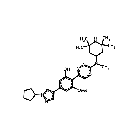 COc1cc(-c2cnn(C3CCCC3)c2)cc(O)c1-c1ccc(N(C)C2CC(C)(C)NC(C)(C)C2)nn1